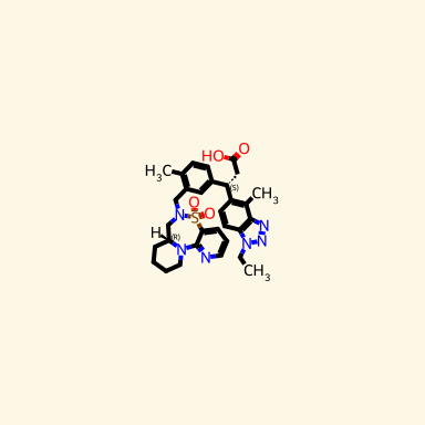 CCn1nnc2c(C)c([C@@H](CC(=O)O)c3ccc(C)c(CN4C[C@H]5CCCCN5c5ncccc5S4(=O)=O)c3)ccc21